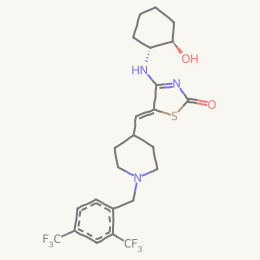 O=C1N=C(N[C@@H]2CCCC[C@H]2O)C(=CC2CCN(Cc3ccc(C(F)(F)F)cc3C(F)(F)F)CC2)S1